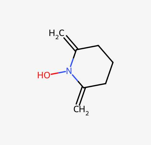 C=C1CCCC(=C)N1O